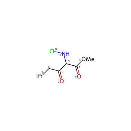 COC(=O)C(NCl)C(=O)CC(C)C